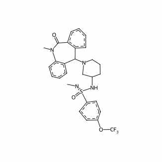 CN=S(=O)(NC1CCCN(C2c3ccccc3C(=O)N(C)c3ccccc32)C1)c1ccc(OC(F)(F)F)cc1